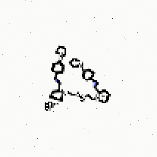 C(=C\c1cccc[n+]1CCSSCC[n+]1ccccc1/C=C/c1ccc(N2CCCC2)cc1)/c1ccc(N2CCCC2)cc1.[Br-].[Br-]